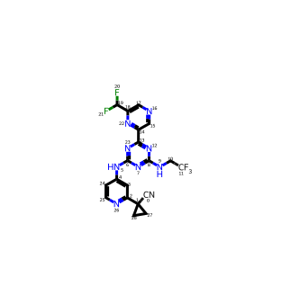 N#CC1(c2cc(Nc3nc(NCC(F)(F)F)nc(-c4cncc(C(F)F)n4)n3)ccn2)CC1